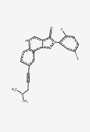 CN(C)CC#Cc1ccc2[nH]cc3c(=O)n(-c4cc(F)ccc4F)nc-3c2c1